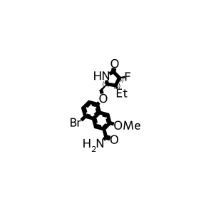 CC[C@@H]1[C@H](F)C(=O)N[C@@H]1COc1ccc(Br)c2cc(C(N)=O)c(OC)cc12